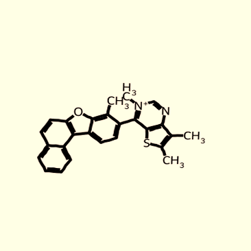 Cc1sc2c(-c3ccc4c(oc5ccc6ccccc6c54)c3C)[n+](C)cnc2c1C